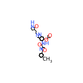 Cc1cccc(-c2nc(C(=O)Nc3cc4cn(CCC5CCNC5=O)nc4cc3OC3COC3)co2)c1